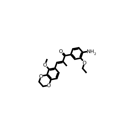 CCOc1cc(C(=O)/C(C)=C/c2ccc3c(c2OC)OCCO3)ccc1N